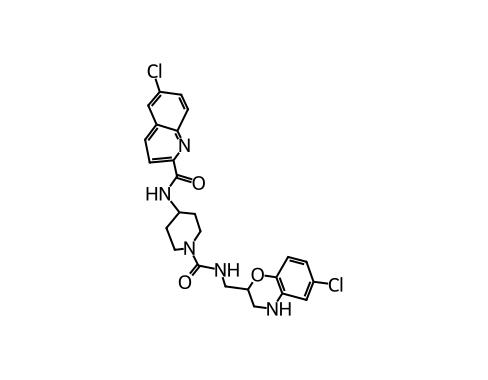 O=C(NC1CCN(C(=O)NCC2CNc3cc(Cl)ccc3O2)CC1)c1ccc2cc(Cl)ccc2n1